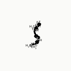 Cc1c(C(=O)NCC#Cc2ccc3nc(Nc4ccc(C(=O)NCCN(C)C)cc4)ncc3c2)c(=O)n(Cc2ccc(F)c(F)c2)n1C